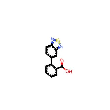 O=C(O)c1ccccc1-c1ccc2nsnc2c1